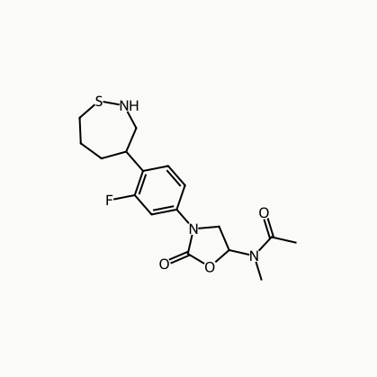 CC(=O)N(C)C1CN(c2ccc(C3CCCSNC3)c(F)c2)C(=O)O1